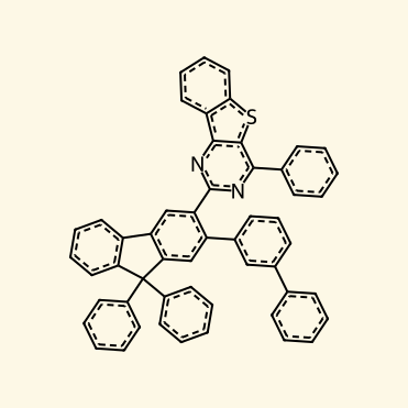 c1ccc(-c2cccc(-c3cc4c(cc3-c3nc(-c5ccccc5)c5sc6ccccc6c5n3)-c3ccccc3C4(c3ccccc3)c3ccccc3)c2)cc1